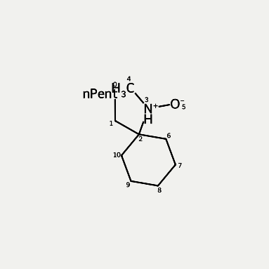 CCCCCCC1([NH+](C)[O-])CCCCC1